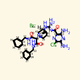 NC(=NC(=O)c1nc(Cl)c(N)nc1N)N[C@@H]1C[N+]2(C(C(=O)NCc3ccccc3)C(=O)NCc3ccccc3)CCC1CC2.[Br-]